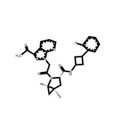 CC(=O)c1nn(CC(=O)N2[C@@H]3C[C@@H]3C[C@H]2C(=O)NC2CC(c3ccccc3F)C2)c2ncccc12